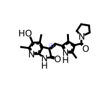 Cc1nc2c(c(C)c1O)/C(=C/c1[nH]c(C)c(C(=O)N3CCCC3)c1C)C(=O)N2